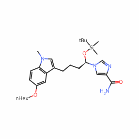 CCCCCCOc1ccc2c(c1)c(CCC[C@@H](O[Si](C)(C)C(C)(C)C)n1cnc(C(N)=O)c1)cn2C